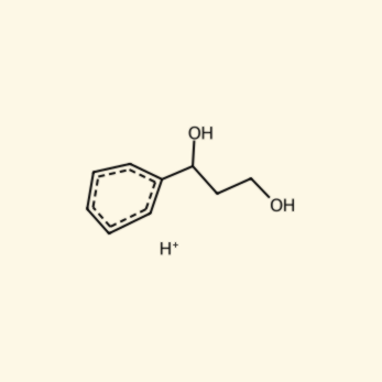 OCCC(O)c1ccccc1.[H+]